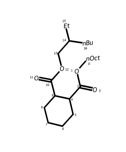 CCCCCCCCOC(=O)C1CCCCC1C(=O)OCC(CC)CCCC